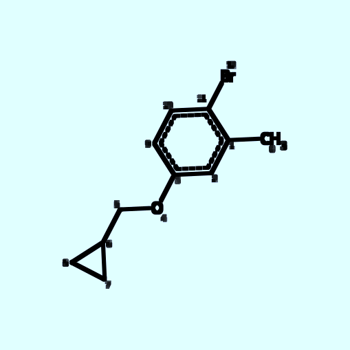 Cc1cc(OCC2CC2)ccc1Br